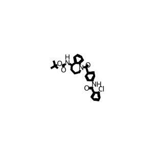 CC(C)(C)OC(=O)NC1CCCN(C(=O)c2ccc(NC(=O)c3ccccc3Cl)cc2)c2ccccc21